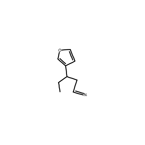 CCC(CC=[N])c1ccoc1